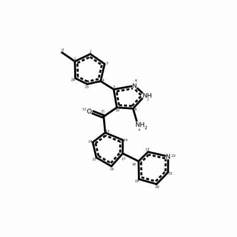 Cc1ccc(-c2n[nH]c(N)c2C(=O)c2cccc(-c3cccnc3)c2)cc1